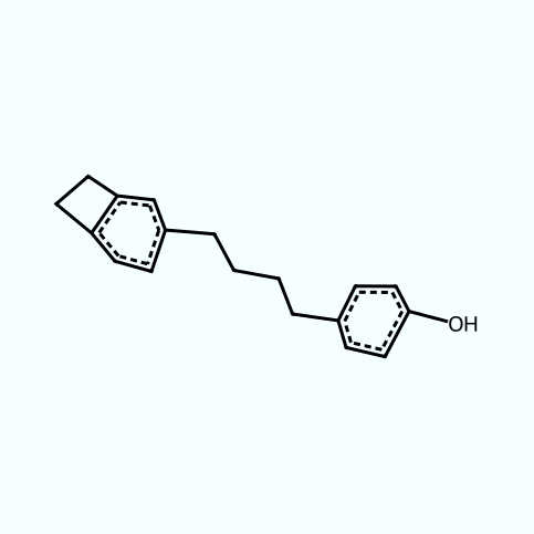 Oc1ccc(CCCCc2ccc3c(c2)CC3)cc1